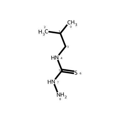 CC(C)CNC(=S)NN